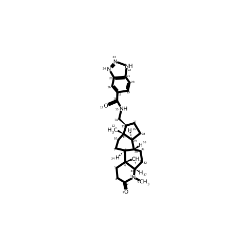 CN1C(=O)CC[C@]2(C)[C@H]3CC[C@]4(C)[C@@H](CNC(=O)c5ccc6[nH]nnc6c5)CC[C@H]4[C@@H]3CC[C@@H]12